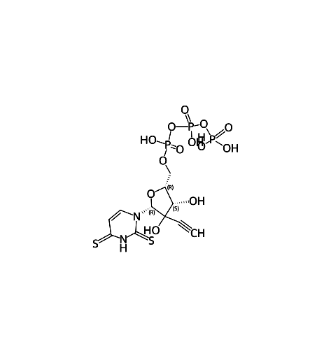 C#CC1(O)[C@@H](O)[C@@H](COP(=O)(O)OP(=O)(O)OP(=O)(O)O)O[C@H]1n1ccc(=S)[nH]c1=S